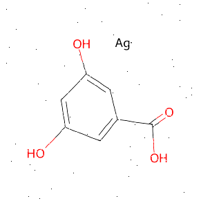 O=C(O)c1cc(O)cc(O)c1.[Ag]